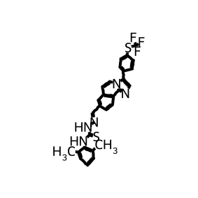 Cc1cccc(C)c1NC(=S)N/N=C/c1ccc2c(ccn3c(-c4ccc(SC(F)(F)F)cc4)cnc23)c1